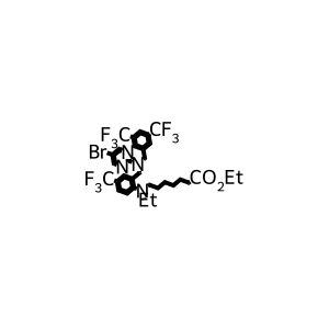 CCOC(=O)CCCCCCN(CC)c1ccc(C(F)(F)F)cc1CN(Cc1cc(C(F)(F)F)cc(C(F)(F)F)c1)c1ncc(Br)cn1